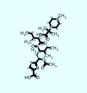 CCC(C)[C@@H](C[C@@H](OC(C)=O)c1nc(C(=O)O)cs1)N(C)C(=O)[C@@H](NC(=O)C(C)(C)N1CCN(C)CC1)[C@@H](C)CC